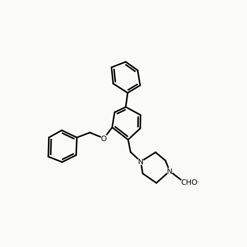 O=[C]N1CCN(Cc2ccc(-c3ccccc3)cc2OCc2ccccc2)CC1